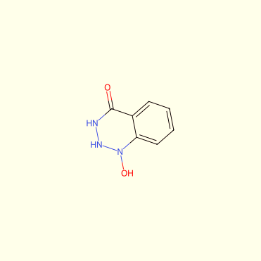 O=C1NNN(O)c2ccccc21